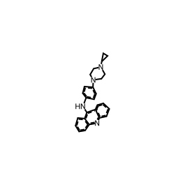 c1ccc2c(Nc3ccc(N4CCN(C5CC5)CC4)cc3)c3ccccc3nc2c1